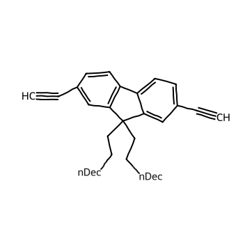 C#Cc1ccc2c(c1)C(CCCCCCCCCCCC)(CCCCCCCCCCCC)c1cc(C#C)ccc1-2